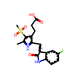 Cc1[nH]c(/C=C2\C(=O)Nc3ccc(F)cc32)c(CCC(=O)O)c1S(C)(=O)=O